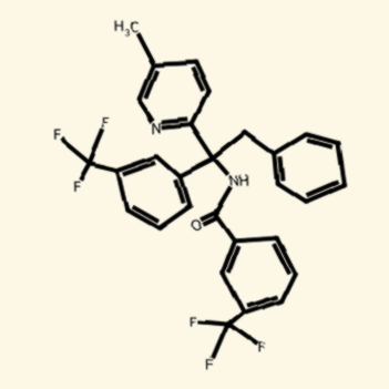 Cc1ccc(C(Cc2ccccc2)(NC(=O)c2cccc(C(F)(F)F)c2)c2cccc(C(F)(F)F)c2)nc1